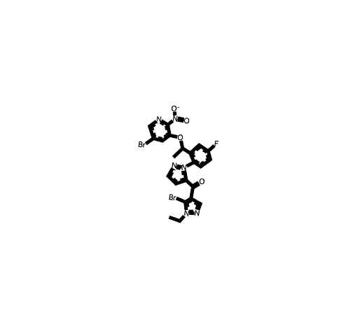 CCn1ncc(C(=O)c2ccnn2-c2ccc(F)cc2C(C)Oc2cc(Br)cnc2[N+](=O)[O-])c1Br